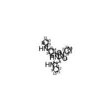 O=C(NC(Cc1c[nH]c2ccccc12)C(=O)Nc1ccncc1)c1ccc(Nc2ccccc2)cc1F